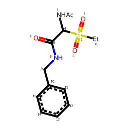 CCS(=O)(=O)C(NC(C)=O)C(=O)NCc1ccccc1